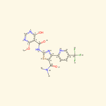 COc1ncnc(O)c1C(=O)Nc1nc(-c2ccc(C(F)(F)F)cn2)c(C(=O)N(C)C)s1